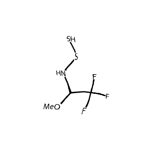 COC(NSS)C(F)(F)F